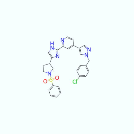 O=S(=O)(c1ccccc1)N1CCC(c2c[nH]c(-c3cc(-c4cnn(Cc5ccc(Cl)cc5)c4)ccn3)n2)C1